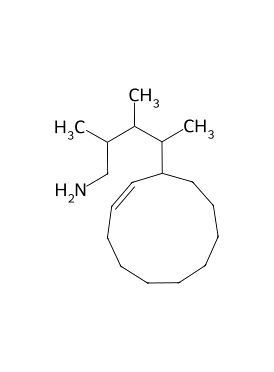 CC(CN)C(C)C(C)C1/C=C\CCCCCCCC1